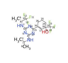 CC(C)Nc1nc(N[C@H](C)C(F)(F)F)nc(C2=CC(O)(C(F)(F)F)CCC2)n1